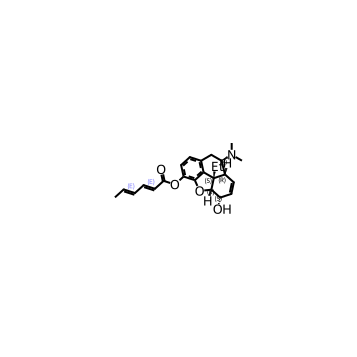 C/C=C/C=C/C(=O)Oc1ccc2c3c1O[C@H]1[C@@H](O)C=C[C@@H]([C@H](N(C)C)C2)[C@@]31CC